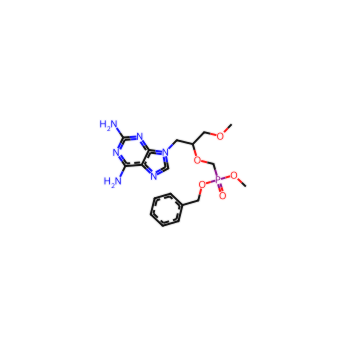 COCC(Cn1cnc2c(N)nc(N)nc21)OCP(=O)(OC)OCc1ccccc1